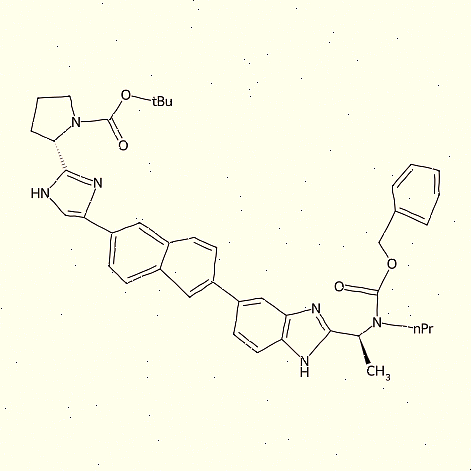 CCCN(C(=O)OCc1ccccc1)[C@@H](C)c1nc2cc(-c3ccc4cc(-c5c[nH]c([C@@H]6CCCN6C(=O)OC(C)(C)C)n5)ccc4c3)ccc2[nH]1